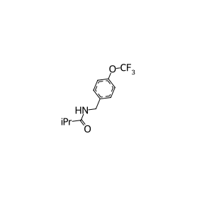 CC(C)C(=O)NCc1ccc(OC(F)(F)F)cc1